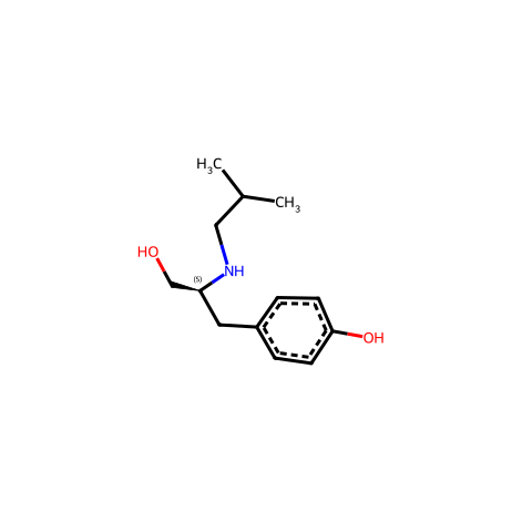 CC(C)CN[C@H](CO)Cc1ccc(O)cc1